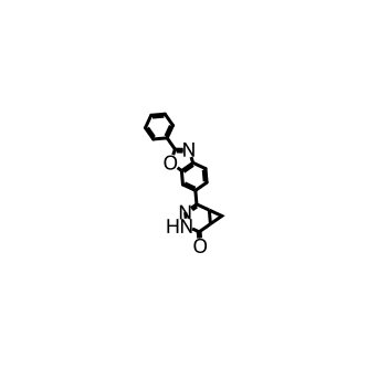 O=C1NN=C(c2ccc3nc(-c4ccccc4)oc3c2)C2CC12